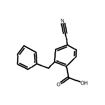 N#Cc1ccc(C(=O)O)c(Cc2ccccc2)c1